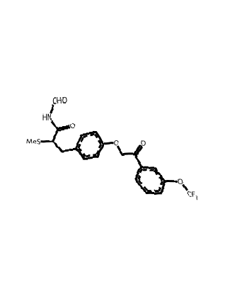 CSC(Cc1ccc(OCC(=O)c2cccc(OC(F)(F)F)c2)cc1)C(=O)NC=O